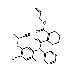 C#CC(C)Oc1cc(N(C(=O)C2=C(C(=O)OCC=C)CCCC2)c2cccnc2)c(F)cc1Cl